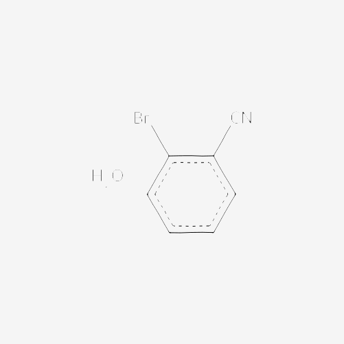 N#Cc1ccccc1Br.O